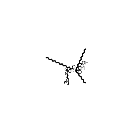 CCCCCCCCCCCCC(CCC(=O)OC(CCCCCCCC)(CCCC(CCCCCCCC)C(=O)O)C(=O)O)OC(=O)OCCCN(CC)CC